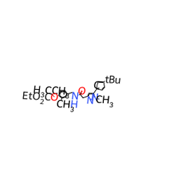 CCOC(=O)C(C)(C)Oc1ccc(CNC(=O)Cc2cc(C3C=CC(C(C)(C)C)=CC3)n(C)n2)cc1C